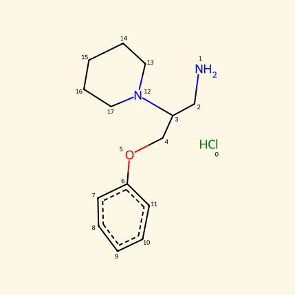 Cl.NCC(COc1ccccc1)N1CCCCC1